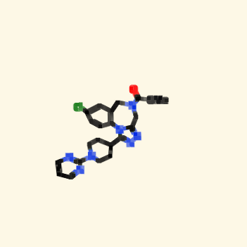 COC(=O)N1Cc2cc(Cl)ccc2-n2c(nnc2C2CCN(c3ncccn3)CC2)C1